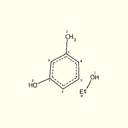 CCO.Cc1cccc(O)c1